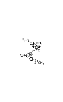 CCCCOc1nc(N)c2[nH]c(=O)n(CCCCN(CCN3CCCC3)S(=O)(=O)c3cccc(CC(=O)OC)c3)c2n1